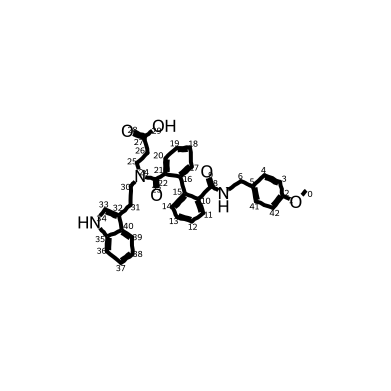 COc1ccc(CNC(=O)c2ccccc2-c2ccccc2C(=O)N(CCC(=O)O)CCc2c[nH]c3ccccc23)cc1